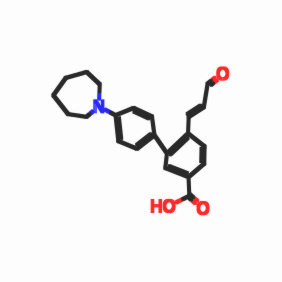 O=CC=Cc1ccc(C(=O)O)cc1-c1ccc(N2CCCCCC2)cc1